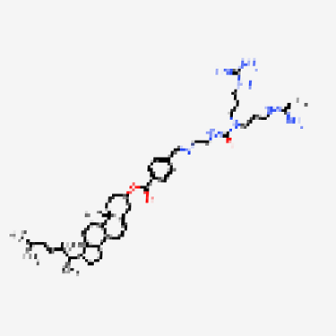 C=C(N)NCCCN(CCCNC(=N)N)C(=O)NCC/N=C/c1ccc(C(=O)OC2CCC3(C)C(=CCC4C3CCC3(C)C(C(C)CCCC(C)C)CCC43)C2)cc1